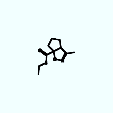 CCSC(=O)C12CCCC1C(C)=NO2